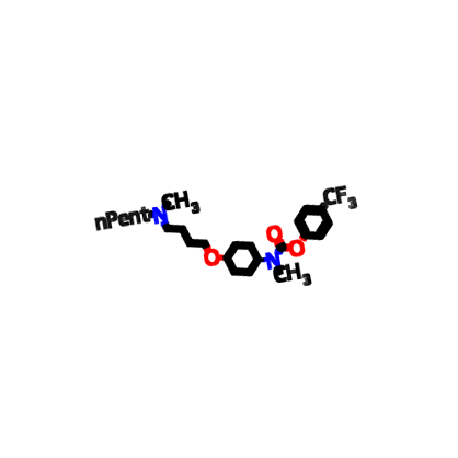 CCCCCN(C)CCCCO[C@H]1CC[C@H](N(C)C(=O)Oc2ccc(C(F)(F)F)cc2)CC1